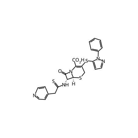 O=C(O)C1=C(Sc2ccnn2-c2ccccc2)CS[C@H]2[C@H](NC(=S)Cc3ccncc3)C(=O)N12